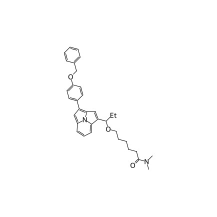 CCC(OCCCCCC(=O)N(C)C)c1cc2c(-c3ccc(OCc4ccccc4)cc3)cc3cccc1n32